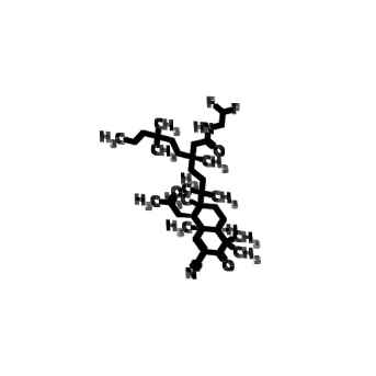 CCCC(C)(C)CC[C@@](C)(CCC(C)(C)[C@]1(C)CC[C@H]2C(C)(C)C(=O)C(C#N)=C[C@]2(C)[C@H]1CC(C)=O)CC(=O)NCC(F)F